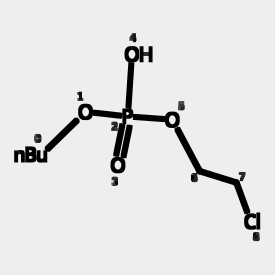 CCCCOP(=O)(O)OCCCl